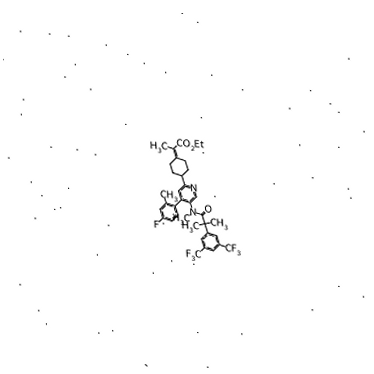 CCOC(=O)C(C)=C1CCC(c2cc(-c3ccc(F)cc3C)c(N(C)C(=O)C(C)(C)c3cc(C(F)(F)F)cc(C(F)(F)F)c3)cn2)CC1